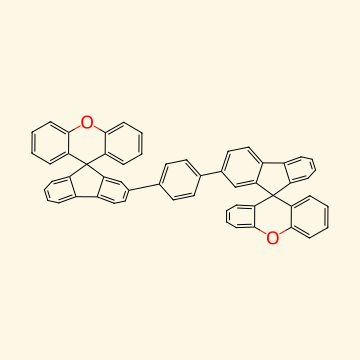 c1ccc2c(c1)Oc1ccccc1C21c2ccccc2-c2ccc(-c3ccc(-c4ccc5c(c4)C4(c6ccccc6Oc6ccccc64)c4ccccc4-5)cc3)cc21